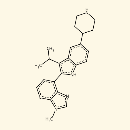 CC(C)c1c(-c2ccnc3c2ncn3C)[nH]c2ccc(C3CCNCC3)cc12